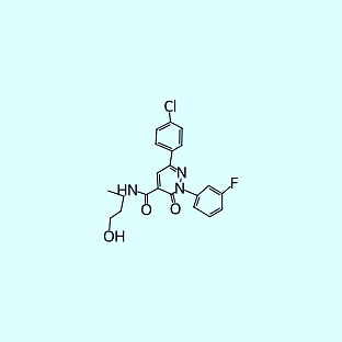 CC(CCO)NC(=O)c1cc(-c2ccc(Cl)cc2)nn(-c2cccc(F)c2)c1=O